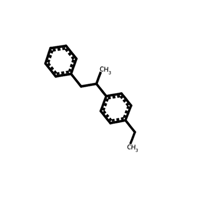 CCc1ccc(C(C)Cc2ccccc2)cc1